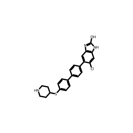 Oc1nc2cc(-c3ccc(-c4ccc(SC5CCNCC5)cc4)cc3)c(Cl)cc2[nH]1